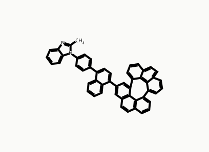 Cc1nc2ccccc2n1-c1ccc(-c2ccc(-c3cc4ccc5cccc6c7cccc8ccc9cccc(c(c3)c4c56)c9c87)c3ccccc23)cc1